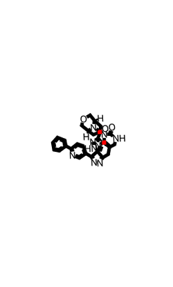 O=C1NCC2=C(N=C3C(=NN=C3c3ccc(-c4ccccc4)nc3)C2)N1C1C[C@H]2COC[C@@H](C1)N2C(=O)c1nc[nH]n1